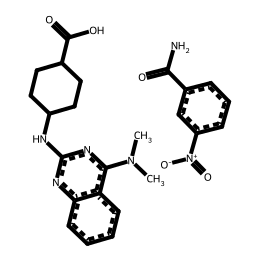 CN(C)c1nc(NC2CCC(C(=O)O)CC2)nc2ccccc12.NC(=O)c1cccc([N+](=O)[O-])c1